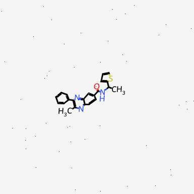 Cc1nc2ccc(C(=O)NC(C)c3cccs3)cc2nc1-c1ccccc1